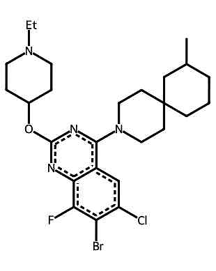 CCN1CCC(Oc2nc(N3CCC4(CCCC(C)C4)CC3)c3cc(Cl)c(Br)c(F)c3n2)CC1